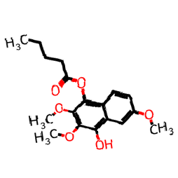 CCCCC(=O)Oc1c(OC)c(OC)c(O)c2cc(OC)ccc12